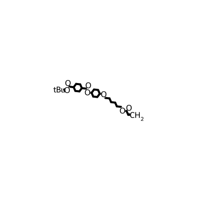 C=CC(=O)OCCCCCCOC1CCC(OC(=O)C2CCC(C(=O)OC(C)(C)C)CC2)CC1